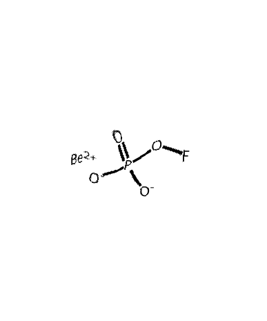 O=P([O-])([O-])OF.[Be+2]